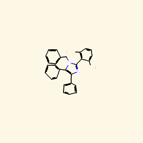 Cc1cccc(C)c1-c1nc(-c2ccccc2)c(-c2ccccc2)n1Cc1ccccc1